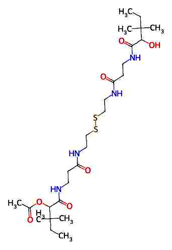 CCC(C)(C)C(O)C(=O)NCCC(=O)NCCSSCCNC(=O)CCNC(=O)C(OC(C)=O)C(C)(C)CC